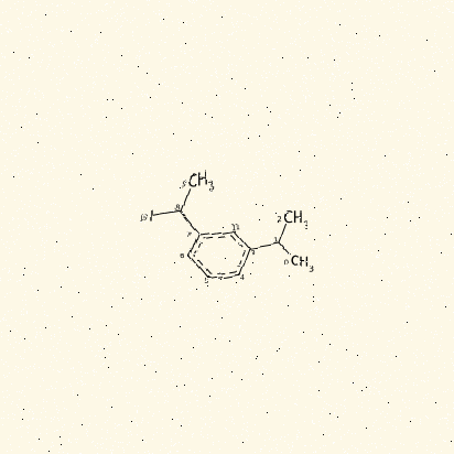 CC(C)c1cccc(C(C)I)c1